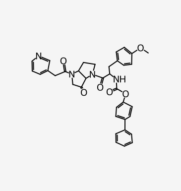 COc1ccc(CC(NC(=O)Oc2ccc(-c3ccccc3)cc2)C(=O)N2CCC3C2C(=O)CN3C(=O)Cc2cccnc2)cc1